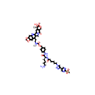 CCN(CCc1c2c(nc3cc4c(cc13)OCO4)-c1cc3c(c(=O)n1C2)COC(=O)[C@]3(O)CC)C(=O)OCc1ccc(NC(=O)[C@H](CCCCN)NC(=O)CCCCCn2cc(-c3cnc(S(C)(=O)=O)nc3)nn2)cc1